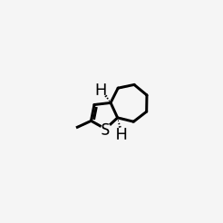 CC1=C[C@H]2CCCCC[C@H]2S1